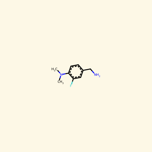 CN(C)c1ccc(CN)cc1F